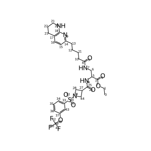 CCOC(=O)C(CNC(=O)CCCCc1ccc2c(n1)NCCC2)NC(=O)C1CN(S(=O)(=O)c2cccc(OC(F)(F)F)c2)C1